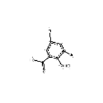 Cl.O=C(O)c1cc(Cl)cc(Br)c1O